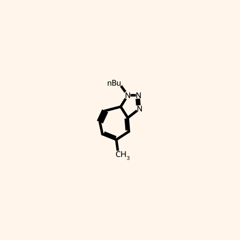 CCCCN1N=NC2=CC(C)=CC#CC21